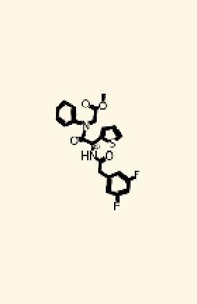 COC(=O)CN(C(=O)[C@H](NC(=O)Cc1cc(F)cc(F)c1)c1cccs1)c1ccccc1